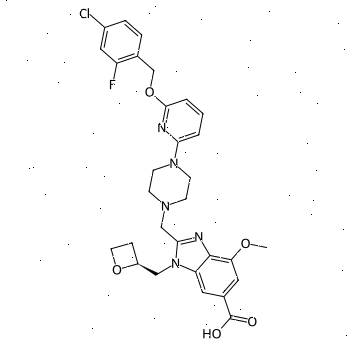 COc1cc(C(=O)O)cc2c1nc(CN1CCN(c3cccc(OCc4ccc(Cl)cc4F)n3)CC1)n2C[C@@H]1CCO1